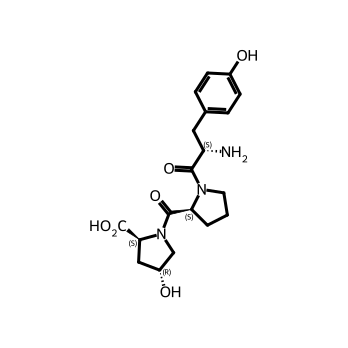 N[C@@H](Cc1ccc(O)cc1)C(=O)N1CCC[C@H]1C(=O)N1C[C@H](O)C[C@H]1C(=O)O